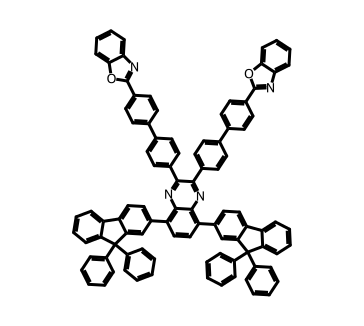 c1ccc(C2(c3ccccc3)c3ccccc3-c3ccc(-c4ccc(-c5ccc6c(c5)C(c5ccccc5)(c5ccccc5)c5ccccc5-6)c5nc(-c6ccc(-c7ccc(-c8nc9ccccc9o8)cc7)cc6)c(-c6ccc(-c7ccc(-c8nc9ccccc9o8)cc7)cc6)nc45)cc32)cc1